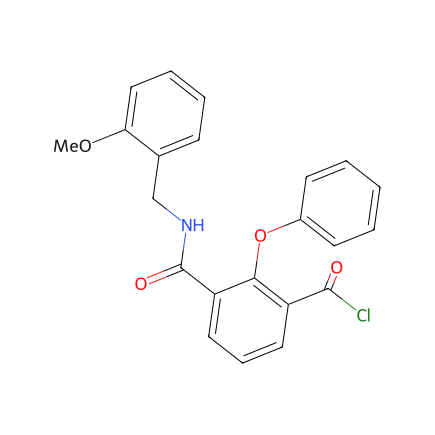 COc1ccccc1CNC(=O)c1cccc(C(=O)Cl)c1Oc1ccccc1